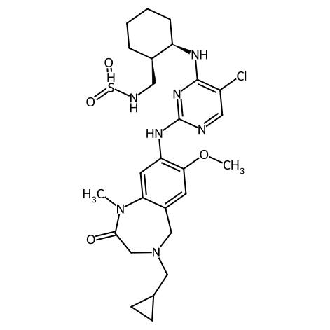 COc1cc2c(cc1Nc1ncc(Cl)c(N[C@@H]3CCCC[C@@H]3CN[SH](=O)=O)n1)N(C)C(=O)CN(CC1CC1)C2